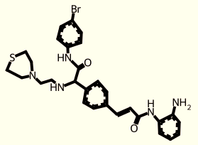 Nc1ccccc1NC(=O)C=Cc1ccc(C(NCCN2CCSCC2)C(=O)Nc2ccc(Br)cc2)cc1